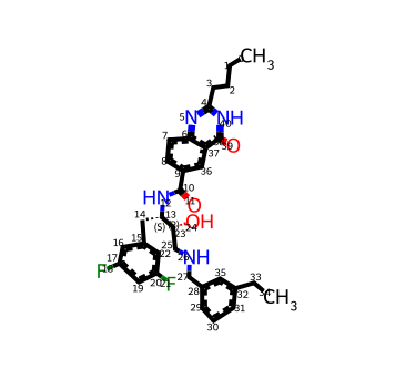 CCCCc1nc2ccc(C(=O)N[C@@H](Cc3cc(F)cc(F)c3)[C@H](O)CNCc3cccc(CC)c3)cc2c(=O)[nH]1